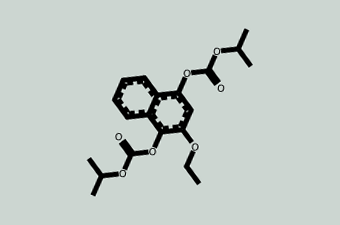 CCOc1cc(OC(=O)OC(C)C)c2ccccc2c1OC(=O)OC(C)C